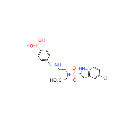 O=C(O)CN(CCNCc1ccc(B(O)O)cc1)S(=O)(=O)c1cc2cc(Cl)ccc2[nH]1